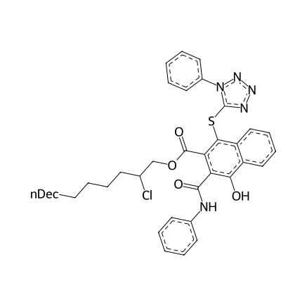 CCCCCCCCCCCCCCC(Cl)COC(=O)c1c(C(=O)Nc2ccccc2)c(O)c2ccccc2c1Sc1nnnn1-c1ccccc1